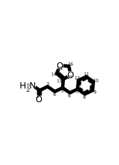 NC(=O)CCC(Cc1ccccc1)C1=COCO1